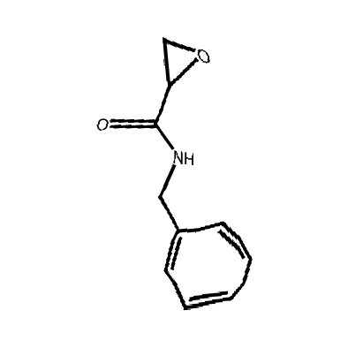 O=C(NCc1ccccc1)C1CO1